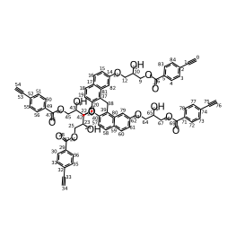 C#Cc1ccc(C(=O)OCC(O)COc2ccc3ccc(OCC(O)COC(=O)c4ccc(C#C)cc4)c(Cc4c(OCC(O)COC(=O)c5ccc(C#C)cc5)ccc5ccc(OCC(O)COC(=O)c6ccc(C#C)cc6)cc45)c3c2)cc1